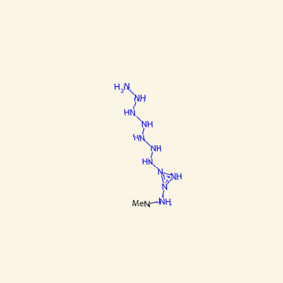 CNNn1[nH]n1NNNNNNN